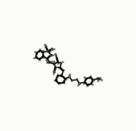 O=C1/C(=C\c2ccccc2OCCOc2ccc([N+](=O)[O-])cc2)SC(=S)N1NC1=NS(=O)(=O)c2ccccc21